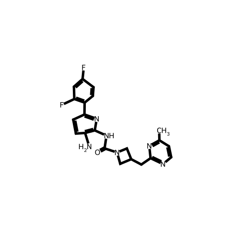 Cc1ccnc(CC2CN(C(=O)Nc3nc(-c4ccc(F)cc4F)ccc3N)C2)n1